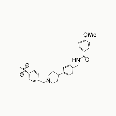 COc1ccc(C(=O)NCc2ccc(C3CCN(Cc4ccc(S(C)(=O)=O)cc4)CC3)cc2)cc1